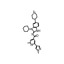 Cc1cc(C(=O)/N=c2\[nH]c3ccc(C4CCN(C)CC4)cc3n2C2CCCCC2)cc(-c2cnn(C)c2)n1